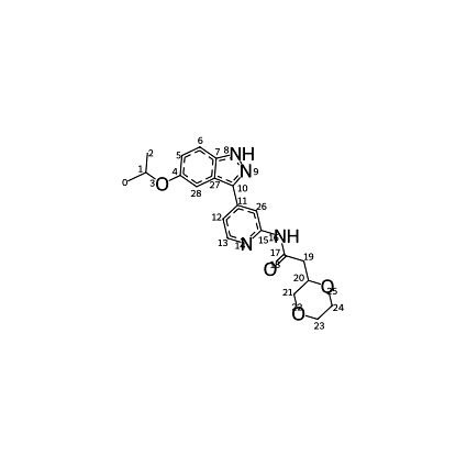 CC(C)Oc1ccc2[nH]nc(-c3ccnc(NC(=O)CC4COCCO4)c3)c2c1